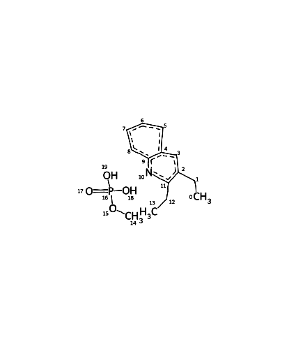 CCc1cc2ccccc2nc1CC.COP(=O)(O)O